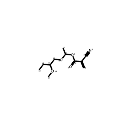 C=C(C#N)C(=O)OC(C)OCC(CC)OC